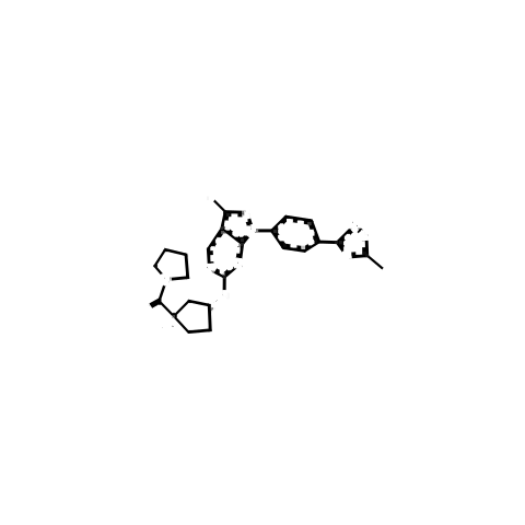 Cc1nnc(-c2ccc(-n3nc(Br)c4cnc(N[C@@H]5CC[C@@](C)(C(=O)N6CCCC6)C5)nc43)cc2)s1